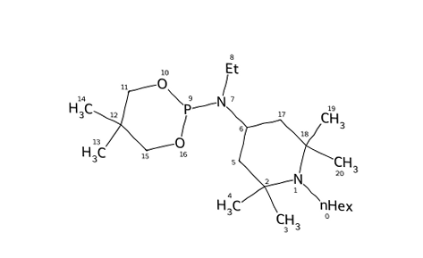 CCCCCCN1C(C)(C)CC(N(CC)P2OCC(C)(C)CO2)CC1(C)C